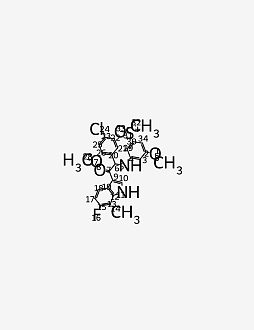 COc1cc(NC(C(=O)c2c[nH]c3c(C)c(F)ccc23)c2ccc(Cl)cc2OC)cc([S+](C)[O-])c1